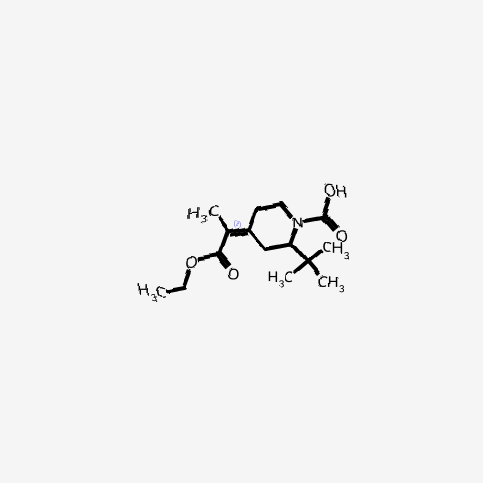 CCOC(=O)/C(C)=C1/CCN(C(=O)O)C(C(C)(C)C)C1